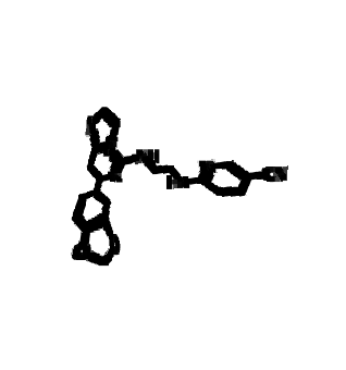 N#Cc1ccc(NCCNc2nc(-c3ccc4c(c3)OCO4)cc3nccn23)nc1